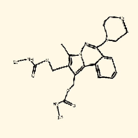 CCNC(=O)OCc1c(COC(=O)NCC)c2c3ccccc3c(N3CCOCC3)nn2c1C